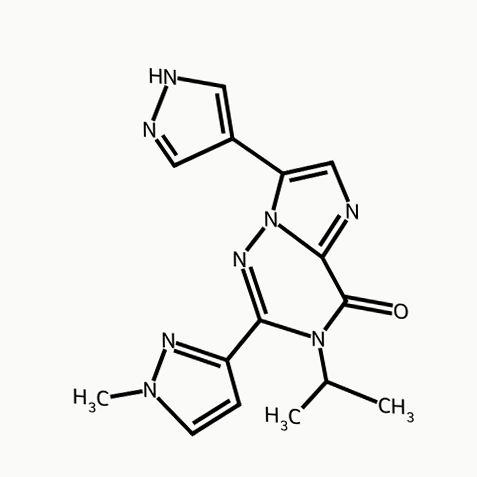 CC(C)n1c(-c2ccn(C)n2)nn2c(-c3cn[nH]c3)cnc2c1=O